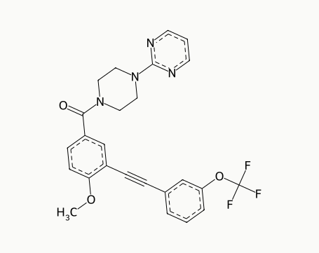 COc1ccc(C(=O)N2CCN(c3ncccn3)CC2)cc1C#Cc1cccc(OC(F)(F)F)c1